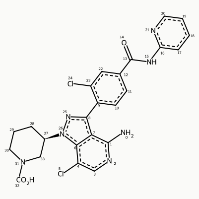 Nc1ncc(Cl)c2c1c(-c1ccc(C(=O)Nc3ccccn3)cc1Cl)nn2[C@@H]1CCCN(C(=O)O)C1